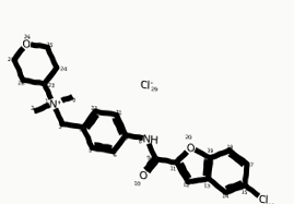 C[N+](C)(Cc1ccc(NC(=O)c2cc3cc(Cl)ccc3o2)cc1)C1CCOCC1.[Cl-]